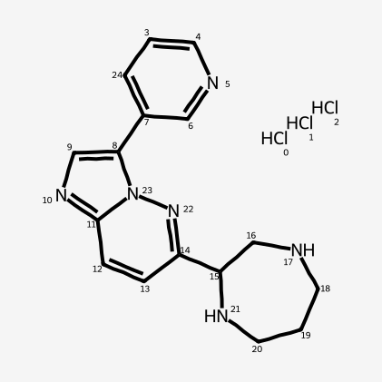 Cl.Cl.Cl.c1cncc(-c2cnc3ccc(C4CNCCCN4)nn23)c1